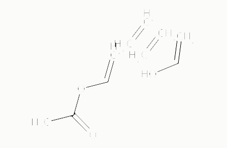 C=C.C=C.C=CO.C=COC(C)=O